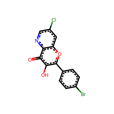 O=c1c(O)c(-c2ccc(Br)cc2)oc2cc(Cl)cnc12